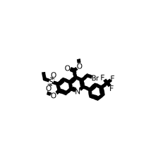 CCS(=O)(=O)c1cc2c(C(=O)OC)c(CBr)c(-c3cccc(C(F)(F)F)c3)nc2cc1OC